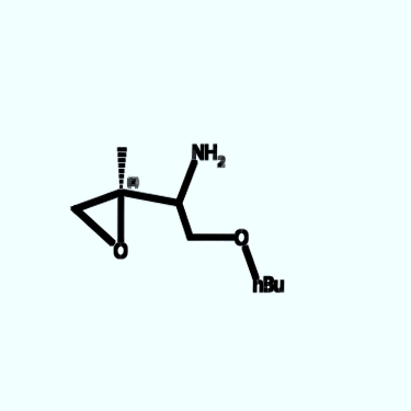 CCCCOCC(N)[C@]1(C)CO1